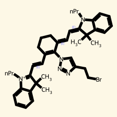 CCCN1/C(=C/C=C2\CCCC(/C=C/C3=[N+](CCC)c4ccccc4C3(C)C)=C2n2cc(CCBr)nn2)C(C)(C)c2ccccc21